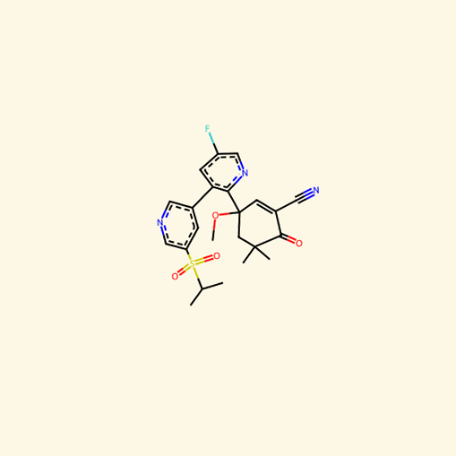 COC1(c2ncc(F)cc2-c2cncc(S(=O)(=O)C(C)C)c2)C=C(C#N)C(=O)C(C)(C)C1